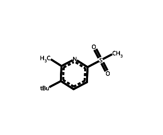 Cc1nc(S(C)(=O)=O)ccc1C(C)(C)C